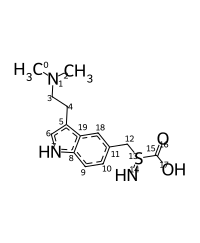 CN(C)CCc1c[nH]c2ccc(CS(=N)C(=O)O)cc12